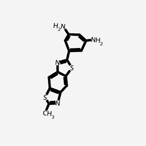 Cc1nc2cc3sc(-c4cc(N)cc(N)c4)nc3cc2s1